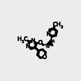 Cc1ccc([C@H]2C[C@@H]2COc2nc(C)ncc2C2=CCOCC2)nc1